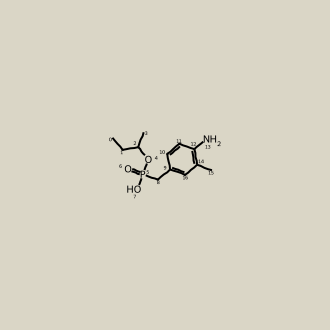 CCC(C)OP(=O)(O)Cc1ccc(N)c(C)c1